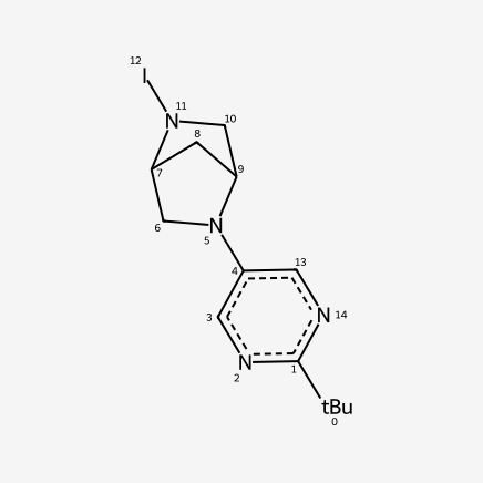 CC(C)(C)c1ncc(N2CC3CC2CN3I)cn1